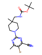 Cc1nc(N2CCC(C)(CNC(=O)OC(C)(C)C)CC2)nc(C#N)c1Br